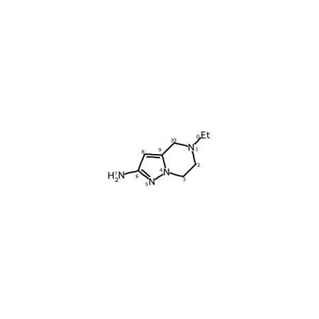 CCN1CCn2nc(N)cc2C1